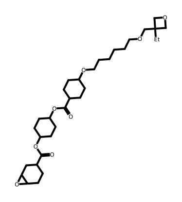 CCC1(COCCCCCCOC2CCC(C(=O)OC3CCC(OC(=O)C4CCC5OC5C4)CC3)CC2)COC1